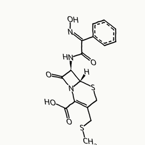 CSCC1=C(C(=O)O)N2C(=O)[C@@H](NC(=O)C(=NO)c3ccccc3)[C@@H]2SC1